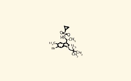 Cc1cc2c([C@@H](C)NS(=O)(=O)C3CC3)cn(CC(C)(C)C)c2cc1Br